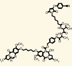 COc1cc2c(cc1OCCCCCOc1cc3c(cc1OC)C(=O)N1C=C(C)CC1C(O)N3C(=O)OCc1ccc(NC(=O)C(C)NC(=O)C(NC(=O)CCCCCN3C(=O)C=C(Oc4ccc(C#N)cc4)C3=O)C(C)C)cc1)N=C[C@H]1CC(C)=CN1C2=O